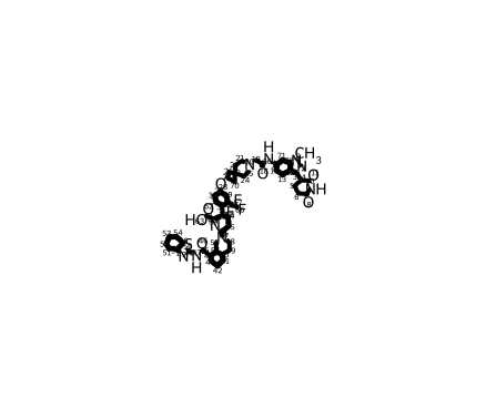 Cn1nc(C2CCC(=O)NC2=O)c2ccc(NC(=O)CN3CCC4(CC3)CC(Oc3ccc(-c5ccc(N6CCc7cccc(C(=O)Nc8nc9ccccc9s8)c7C6)nc5C(=O)O)c(C(F)(F)F)c3)C4)cc21